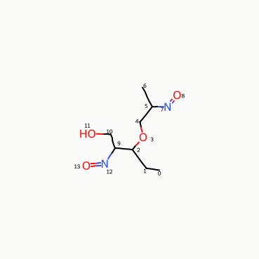 CCC(OCC(C)N=O)C(CO)N=O